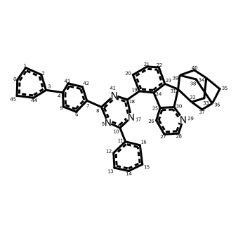 c1ccc(-c2ccc(-c3nc(-c4ccccc4)nc(-c4cccc5c4-c4cccnc4C54C5CC6CC(C5)CC4C6)n3)cc2)cc1